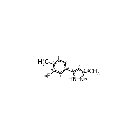 Cc1cc(-c2ccc(C)c(F)c2)[nH]n1